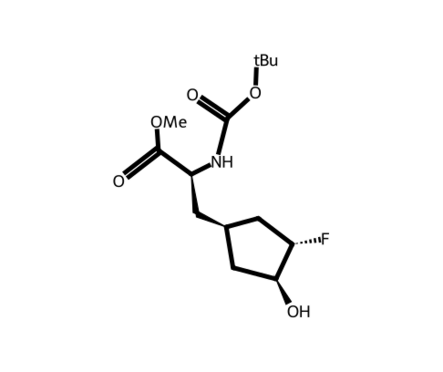 COC(=O)[C@H](C[C@@H]1C[C@H](O)[C@@H](F)C1)NC(=O)OC(C)(C)C